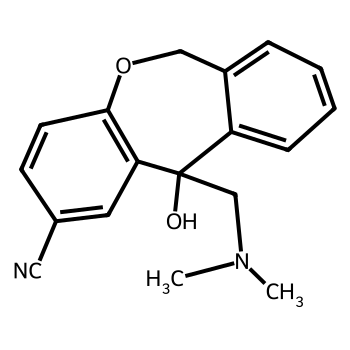 CN(C)CC1(O)c2ccccc2COc2ccc(C#N)cc21